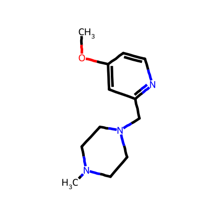 COc1ccnc(CN2CCN(C)CC2)c1